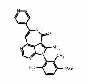 COc1ccc(C)c(-n2c(N)c3c4c(ncnc42)C=C(c2ccncc2)NC3=O)c1C